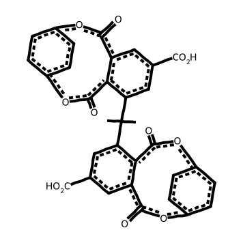 CC(C)(c1cc(C(=O)O)cc2c(=O)oc3ccc(cc3)oc(=O)c12)c1cc(C(=O)O)cc2c(=O)oc3ccc(cc3)oc(=O)c12